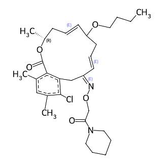 CCCCOC1/C=C/C[C@@H](C)OC(=O)c2c(C)cc(C)c(Cl)c2CC(=N\OCC(=O)N2CCCCC2)/C=C/C1